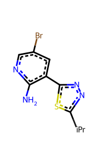 CC(C)c1nnc(-c2cc(Br)cnc2N)s1